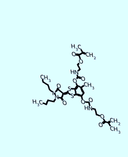 C=C(C)C(=O)OCCNC(=O)Oc1cc(C)c(OC(=O)NCCOC(=O)C(=C)C)c2c1SC(=C1C(=O)N(CCCC)N(CCCC)C1=O)S2